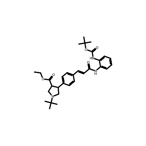 CCOC(=O)C1CN(C(C)(C)C)CC1c1ccc(/C=C/C(=O)Nc2ccccc2NC(=O)OC(C)(C)C)cc1